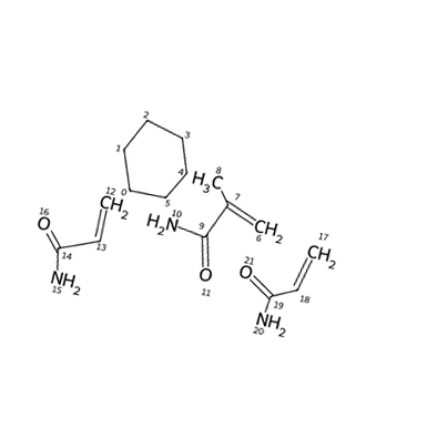 C1CCCCC1.C=C(C)C(N)=O.C=CC(N)=O.C=CC(N)=O